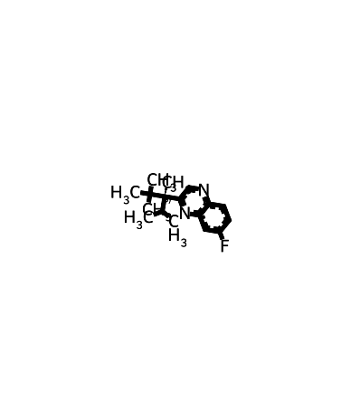 CC(C)[C@](C)(c1cnc2ccc(F)cc2n1)C(C)(C)C